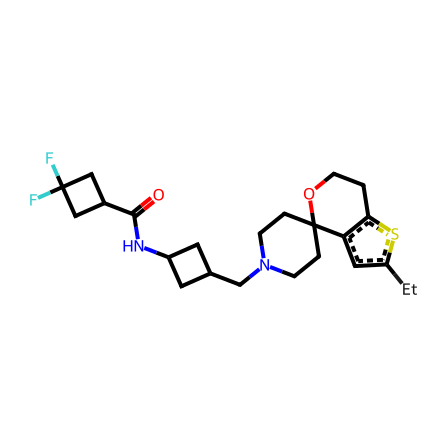 CCc1cc2c(s1)CCOC21CCN(CC2CC(NC(=O)C3CC(F)(F)C3)C2)CC1